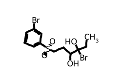 CCC(O)(Br)C(O)CCS(=O)(=O)c1cccc(Br)c1